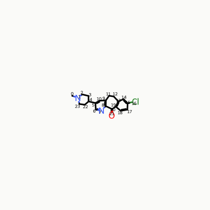 CN1CCC(c2cnc3c(c2)CCc2cc(Cl)ccc2C3=O)CC1